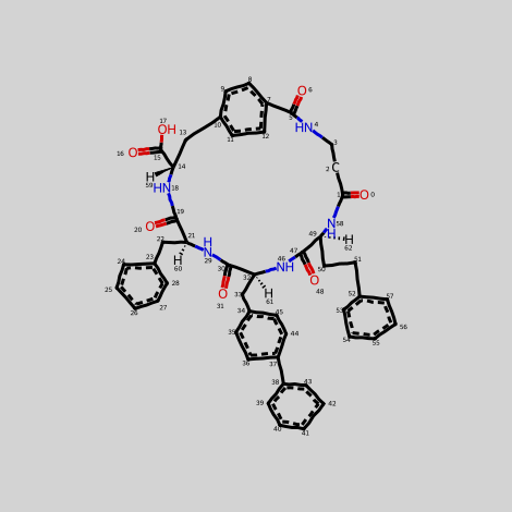 O=C1CCNC(=O)c2ccc(cc2)C[C@@H](C(=O)O)NC(=O)[C@H](Cc2ccccc2)NC(=O)[C@H](Cc2ccc(-c3ccccc3)cc2)NC(=O)[C@H](CCc2ccccc2)N1